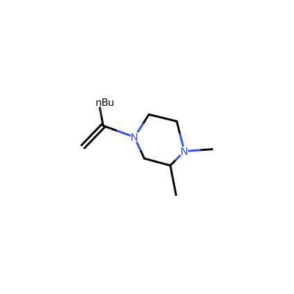 C=C(CCCC)N1CCN(C)C(C)C1